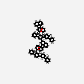 c1ccc(-n2c3ccccc3c3ccc4c5cc6c(cc5n(-c5ccc7c(c5)-c5cccc8cc(-c9cc%10c%11ccccc%11n(-c%11ccc%12c(c%11)-c%11cccc%13cccc-%12c%11%13)c%10c%10c9c9cc%11c(cc9n%10-c9ccccc9)oc9ccccc9%11)cc-7c58)c4c32)oc2ccccc26)cc1